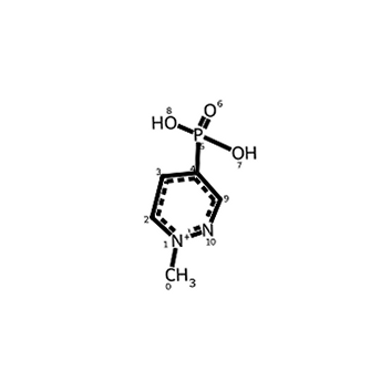 C[n+]1ccc(P(=O)(O)O)cn1